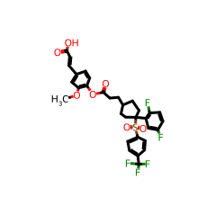 COc1cc(C=CC(=O)O)ccc1OC(=O)CCC1CCC(c2cc(F)ccc2F)(S(=O)(=O)c2ccc(C(F)(F)F)cc2)CC1